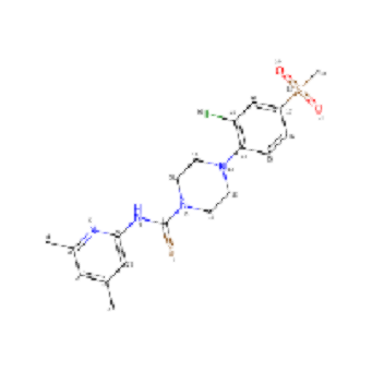 Cc1cc(C)nc(NC(=S)N2CCN(c3ccc(S(C)(=O)=O)cc3F)CC2)c1